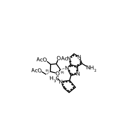 CC(=O)OC[C@H]1O[C@@H](n2c(-c3cccn3C)nc3c(N)ncnc32)C(OC(C)=O)C1OC(C)=O